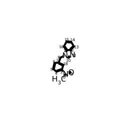 C[N+](=O)c1cccc(Cn2cnc3ccccc32)c1